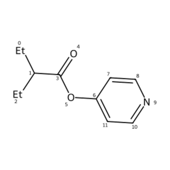 CCC(CC)C(=O)Oc1ccncc1